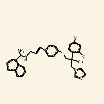 CC(NCC=Cc1ccc(OCC(O)(Cn2ccnc2)c2ccc(Cl)cc2Cl)cc1)c1cccc2ccccc12